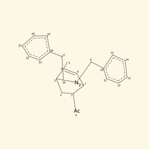 CC(=O)C1CC2C(C)=CC1N(Cc1ccccc1)C2Cc1ccccc1